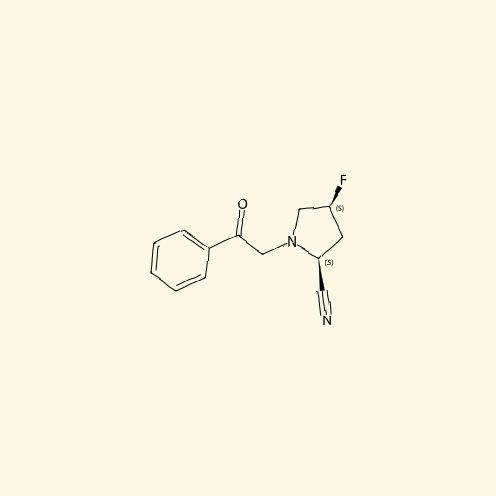 N#C[C@@H]1C[C@H](F)CN1CC(=O)c1ccccc1